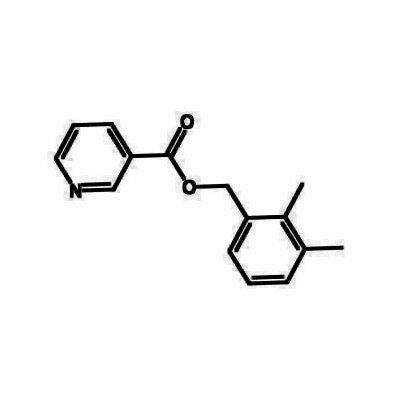 Cc1cccc(COC(=O)c2cccnc2)c1C